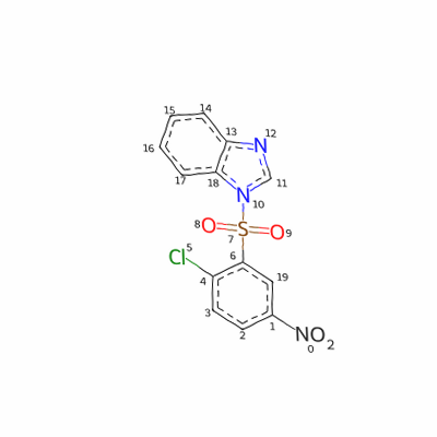 O=[N+]([O-])c1ccc(Cl)c(S(=O)(=O)n2cnc3ccccc32)c1